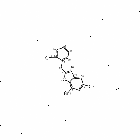 Clc1cc(Br)c2oc(Cc3ccccc3Cl)nc2c1